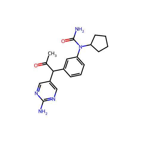 CC(=O)C(c1cnc(N)nc1)c1cccc(N(C(N)=O)C2CCCC2)c1